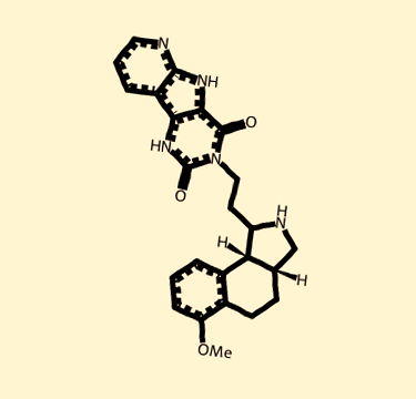 COc1cccc2c1CC[C@H]1CNC(CCn3c(=O)[nH]c4c([nH]c5ncccc54)c3=O)[C@@H]21